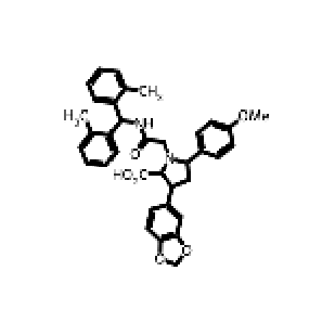 COc1ccc(C2CC(c3ccc4c(c3)OCO4)C(C(=O)O)N2CC(=O)NC(c2ccccc2C)c2ccccc2C)cc1